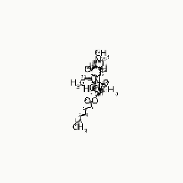 CCCCCCCC(=O)OCCC(C)(C)C(=O)n1c(C)c(CC)c2c1C[C@@H]1CCN(C)C[C@H]1C2=O